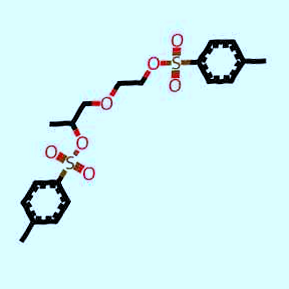 Cc1ccc(S(=O)(=O)OCCOCC(C)OS(=O)(=O)c2ccc(C)cc2)cc1